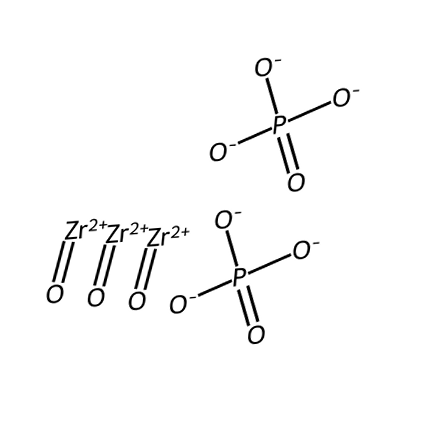 O=P([O-])([O-])[O-].O=P([O-])([O-])[O-].[O]=[Zr+2].[O]=[Zr+2].[O]=[Zr+2]